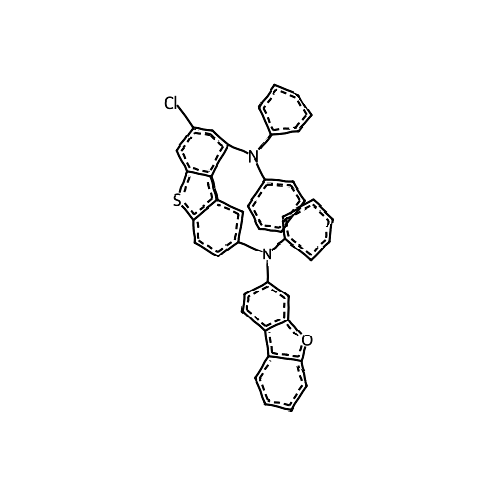 Clc1cc(N(c2ccccc2)c2ccccc2)c2c(c1)sc1ccc(N(c3ccccc3)c3ccc4c(c3)oc3ccccc34)cc12